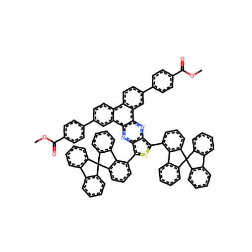 COC(=O)c1ccc(-c2ccc3c4ccc(-c5ccc(C(=O)OC)cc5)cc4c4nc5c(-c6cccc7c6-c6ccccc6C76c7ccccc7-c7ccccc76)sc(-c6cccc7c6-c6ccccc6C76c7ccccc7-c7ccccc76)c5nc4c3c2)cc1